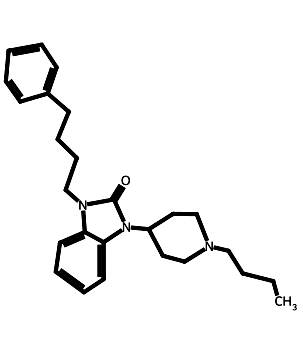 CCCCN1CCC(n2c(=O)n(CCCCc3ccccc3)c3ccccc32)CC1